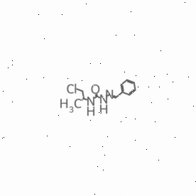 CC(CCl)NC(=O)N/N=C/c1ccccc1